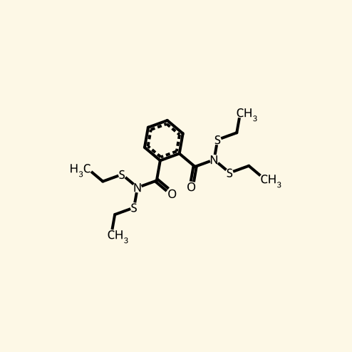 CCSN(SCC)C(=O)c1ccccc1C(=O)N(SCC)SCC